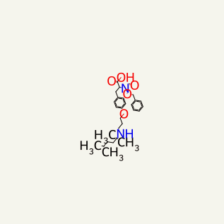 CC(C)CCC(C)(C)NCCCOc1ccc(CC(C(=O)O)N(C=O)OCc2ccccc2)cc1